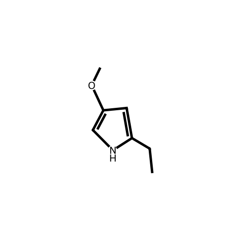 CCc1cc(OC)c[nH]1